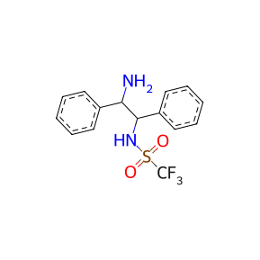 NC(c1ccccc1)C(NS(=O)(=O)C(F)(F)F)c1ccccc1